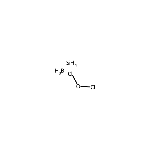 B.ClOCl.[SiH4]